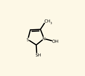 CC1=CSC(S)N1O